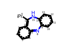 CC(C)C1=c2ccccc2=Nc2ccccc2N1